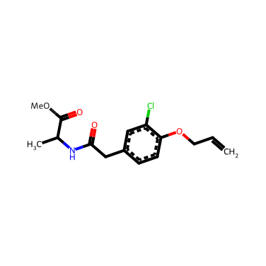 C=CCOc1ccc(CC(=O)NC(C)C(=O)OC)cc1Cl